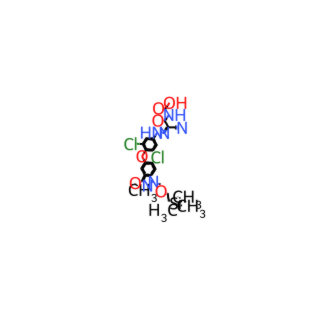 COc1nn(COCC[Si](C)(C)C)c2ccc(Oc3c(Cl)cc(NN=C(C#N)C(=O)NC(=O)O)cc3Cl)cc12